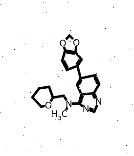 CN(CC1CCCCO1)c1ncnc2ccc(-c3ccc4c(c3)OCO4)cc12